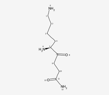 NCCCC[C@H](N)C(=O)CCC(N)=O